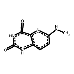 CPc1ccc2[nH]c(=O)[nH]c(=O)c2n1